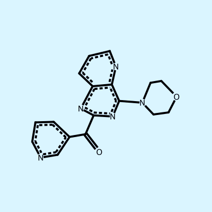 O=C(c1cccnc1)c1nc(N2CCOCC2)c2ncccc2n1